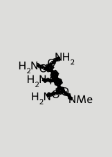 CNCCCOc1cc(OCCCN)cc(-c2ccc3c4ccc(-c5cc(OCCCN)cc(OCCCN)c5)cc4n(CCCN)c3c2)c1